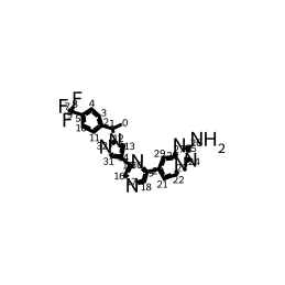 CC(c1ccc(C(F)(F)F)cc1)n1cc(-c2cncc(-c3ccn4nc(N)nc4c3)n2)cn1